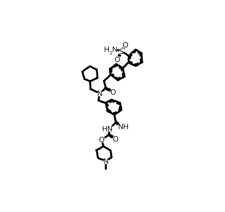 CN1CCC(OC(=O)NC(=N)c2cccc(CN(CC3CCCCC3)C(=O)Cc3ccc(-c4ccccc4S(N)(=O)=O)cc3)c2)CC1